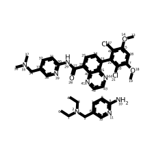 CCN(CC)Cc1ccc(N)nc1.COc1cc(OC)c(Cl)c(-c2ccc(C(=O)Nc3ccc(CN(C)C)cn3)c3nccnc23)c1Cl